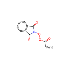 CCCCCC(=O)OON1C(=O)c2ccccc2C1=O